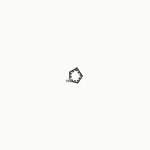 [c]1[c]c[nH]c1